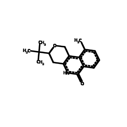 Cc1cccc2c(=O)[nH]c3c(c12)COC(C(C)(C)C)C3